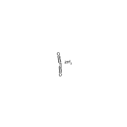 [InH3].[O]=[Ti]=[O]